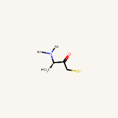 CC(=O)N(C(C)=O)[C@H](C(=O)O)C(=O)CS